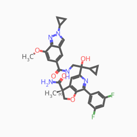 COc1cc(C(=O)NCC(O)(c2cc3c(c(-c4cc(F)cc(F)c4)n2)OC[C@]3(C)C(N)=O)C2CC2)cc2cn(C3CC3)nc12